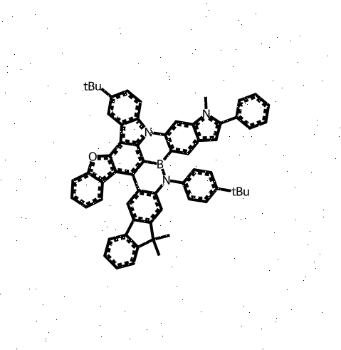 Cn1c(-c2ccccc2)cc2cc3c(cc21)-n1c2ccc(C(C)(C)C)cc2c2c4oc5ccccc5c4c4c(c21)B3N(c1ccc(C(C)(C)C)cc1)c1cc2c(cc1-4)-c1ccccc1C2(C)C